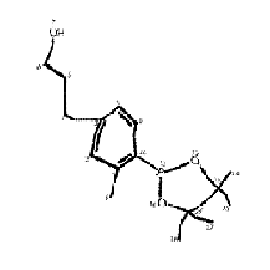 Cc1cc(CCCO)ccc1P1OC(C)(C)C(C)(C)O1